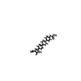 Cc1[nH]c(-c2ccc(N3CCN(c4ccc(CC(=O)O)cc4)CC3)nc2)nc1C#N